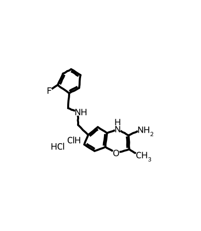 CC1=C(N)Nc2cc(CNCc3ccccc3F)ccc2O1.Cl.Cl